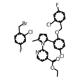 CCOC(=O)c1ccnc(-n2c(C)ccc2-c2cc(Cl)ccc2OCc2ccc(F)cc2Cl)c1.Fc1ccc(CBr)c(Cl)c1